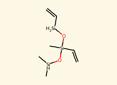 C=C[SiH2]O[Si](C)(C=C)O[SiH](C)C